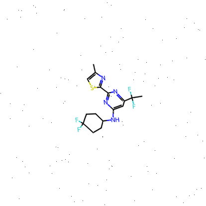 Cc1csc(-c2nc(NC3CCC(F)(F)CC3)cc(C(C)(F)F)n2)n1